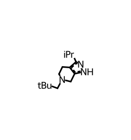 CC(C)c1n[nH]c2c1CCN(CC(C)(C)C)C2